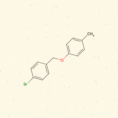 Cc1ccc(OCc2ccc(Br)cc2)cc1